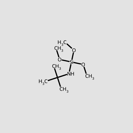 CO[Si](NC(C)(C)C)(OC)OC